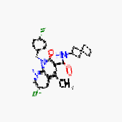 Cc1c(C(=O)NC2CC3(CCC3)C2)c(=O)n(Cc2ccc(F)cc2)c2ncc(Br)cc12